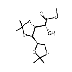 COC(=O)[C@H](O)[C@H]1OC(C)(C)OC1[C@H]1COC(C)(C)O1